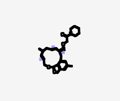 Cc1cc(C)c2c(c1)CC(=N/OCC(=O)N1CCCCC1)/C=C/CC(C)/C=C/COC2=O